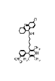 CC1=C(C)C(c2cccc([N+](=O)[O-])c2)C(CCCCCNc2c3c(nc4cc(Cl)ccc24)CCCC3)=C(C)N1